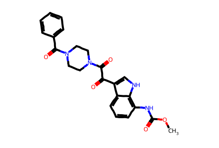 COC(=O)Nc1cccc2c(C(=O)C(=O)N3CCN(C(=O)c4ccccc4)CC3)c[nH]c12